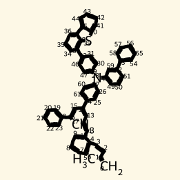 C=C/C=C\c1c(C)cccc1/C=C/C=C(\C=C(/C)c1ccccc1)c1ccc(N(c2ccc(-c3cccc4c3sc3ccccc34)cc2)c2cccc(-c3ccccc3)c2)cc1